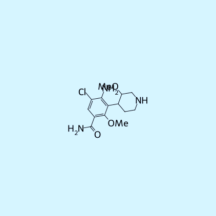 COc1c(C(N)=O)cc(Cl)c(N)c1C1CCNCC1OC